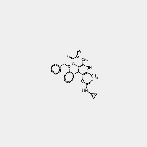 CC1=C(OC(=O)NC2CC2)C(c2ccccc2OCc2ccccc2)C(OC(=O)OC(C)C)=C(C)N1